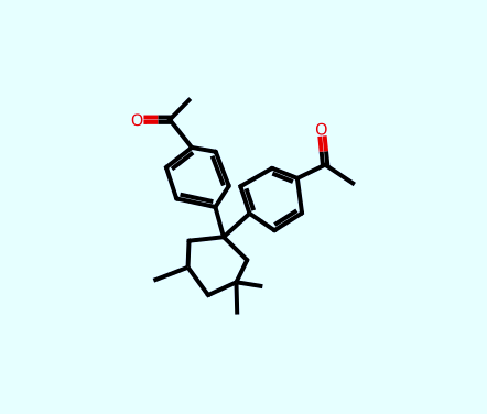 CC(=O)c1ccc(C2(c3ccc(C(C)=O)cc3)CC(C)CC(C)(C)C2)cc1